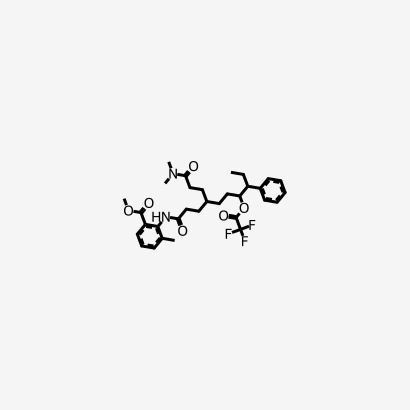 CCC(c1ccccc1)C(CCC(CCC(=O)Nc1c(C)cccc1C(=O)OC)CCC(=O)N(C)C)OC(=O)C(F)(F)F